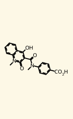 CN(C(=O)c1c(O)c2ccccc2n(C)c1=O)c1ccc(C(=O)O)cc1